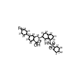 Cc1ccc(S(=O)(=O)Nc2cccc3ccc(CCc4cc(-c5ccc(F)cc5)ccc4C(=O)O)cc23)cc1